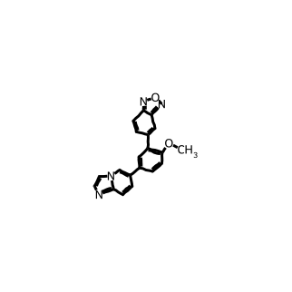 COc1ccc(-c2ccc3nccn3c2)cc1-c1ccc2nonc2c1